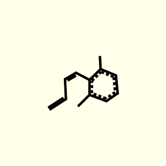 C=C/C=C\c1c(C)cccc1C